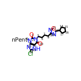 CCCCCn1c(=O)n(CCCCc2noc(C3CCCC3)n2)c(=O)c2[nH]c(Cl)nc21